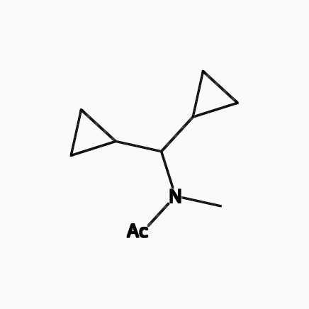 CC(=O)N(C)C(C1CC1)C1CC1